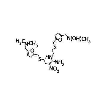 CN(C)Cc1ccc(CSCCC(=C(N)NCCSCc2ccc(CN(C)O)o2)[N+](=O)[O-])o1